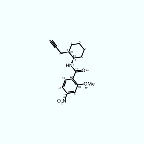 C#CC[C@H]1CCCC[C@H]1NC(=O)c1ccc([N+](=O)[O-])cc1OC